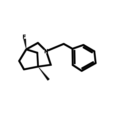 C[C@@]12CC[C@@](F)(CN(Cc3ccccc3)C1)C2